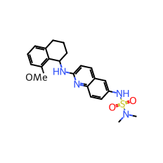 COc1cccc2c1C(Nc1ccc3cc(NS(=O)(=O)N(C)C)ccc3n1)CCC2